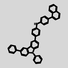 c1ccc(-c2ccc3c(c2)c2cc(-c4ccc(Nc5ccc(-c6cccc7ccccc67)cc5)cc4)ccc2n3-c2ccccc2)cc1